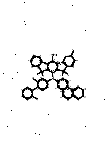 Cc1ccccc1-c1ccc(N(c2ccc3c4c(ccc3c2)=CCCC=4)c2c3c(c(C(C)(C)C)c4c2C(C)(C)c2ccccc2-4)C2=C(C=CC(C)C2)C3(C)C)cc1C